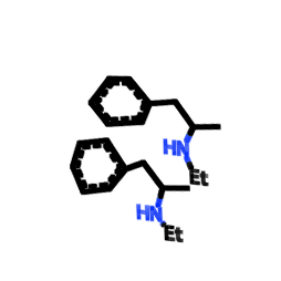 CCNC(C)Cc1ccccc1.CCNC(C)Cc1ccccc1